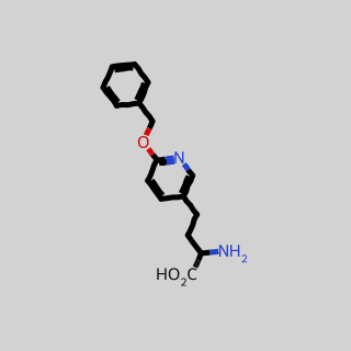 NC(CCc1ccc(OCc2ccccc2)nc1)C(=O)O